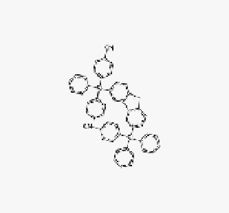 [C-]#[N+]c1ccc([Si](c2ccccc2)(c2ccccc2)c2ccc3c(c2)-c2cc([Si](c4ccccc4)(c4ccccc4)c4ccc(C#N)cc4)ccc2C3)cc1